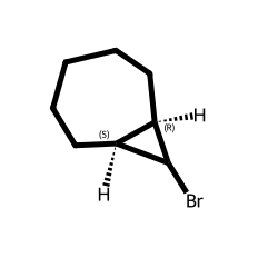 BrC1[C@H]2CCCCC[C@@H]12